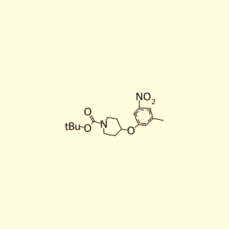 Cc1cc(OC2CCN(C(=O)OC(C)(C)C)CC2)cc([N+](=O)[O-])c1